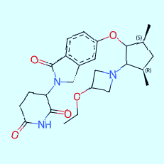 CCOC1CN(C2C(Oc3ccc4c(c3)CN(C3CCC(=O)NC3=O)C4=O)[C@@H](C)C[C@H]2C)C1